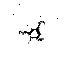 CC1=CCN(F)C(C)=C1.F